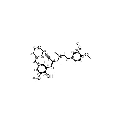 COc1ccc(CCN(C)CC(C#N)=Cc2cc(CN3CCOCC3)cc(OC)c2O)cc1OC